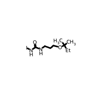 CCC(C)(C)OCCCNC(=O)NI